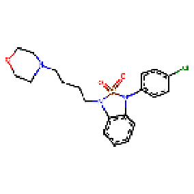 O=S1(=O)N(CCCCN2CCOCC2)c2ccccc2N1c1ccc(Cl)cc1